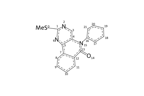 CSc1ncc2c(n1)c1ccccc1c(=O)n2-c1ccccc1